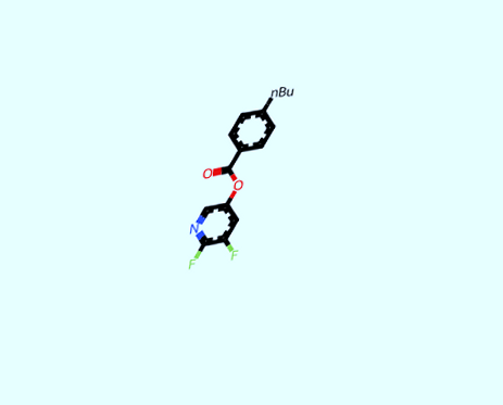 CCCCc1ccc(C(=O)Oc2cnc(F)c(F)c2)cc1